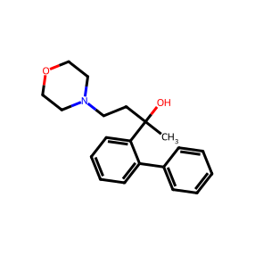 CC(O)(CCN1CCOCC1)c1ccccc1-c1ccccc1